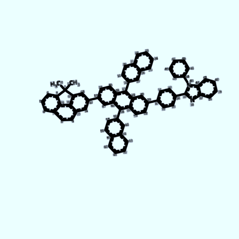 CC1(C)c2cccc3ccc4cc(-c5ccc6c(-c7ccc8ccccc8c7)c7cc(-c8ccc(-c9nc%10ccccc%10n9-c9ccccc9)cc8)ccc7c(-c7ccc8ccccc8c7)c6c5)cc1c4c23